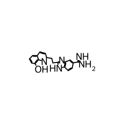 N=C(N)c1ccc2[nH]c(CCc3ccc4cccc(O)c4n3)nc2c1